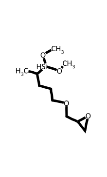 CO[SiH](OC)C(C)CCCOCC1CO1